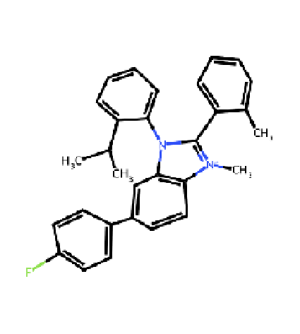 Cc1ccccc1-c1n(-c2ccccc2C(C)C)c2cc(-c3ccc(F)cc3)ccc2[n+]1C